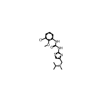 COc1c(Cl)cccc1NC(=O)Nc1nc(CN(C)C(C)C)cs1